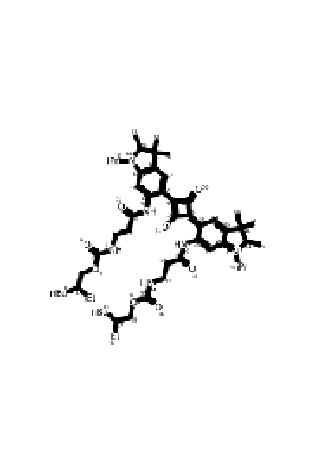 CCCCC(CC)COC(=O)NCCC(=O)Nc1cc2c(cc1C1=C([O-])/C(=c3/cc4c(cc3NC(=O)CCNC(=O)OCC(CC)CCCC)=[N+](C(C)C)C(C)C4(C)C)C1=O)C(C)(C)C(C)N2C(C)C